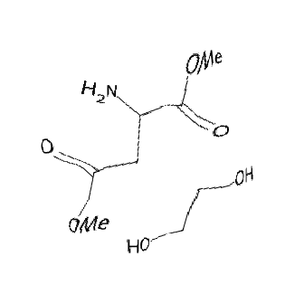 COC(=O)CC(N)C(=O)OC.OCCO